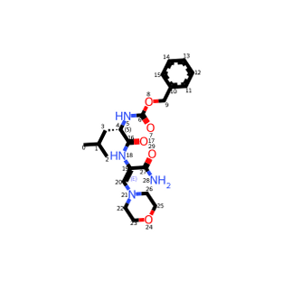 CC(C)C[C@H](NC(=O)OCc1ccccc1)C(=O)N/C(=C/N1CCOCC1)C(N)=O